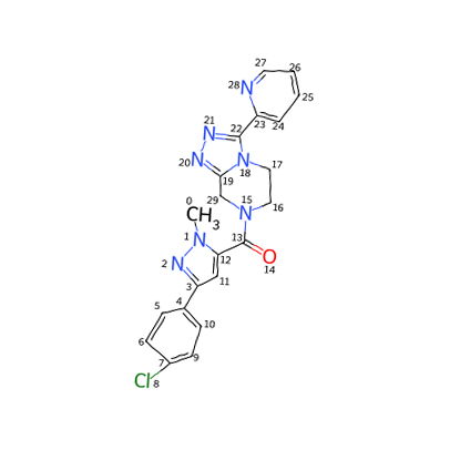 Cn1nc(-c2ccc(Cl)cc2)cc1C(=O)N1CCn2c(nnc2-c2ccccn2)C1